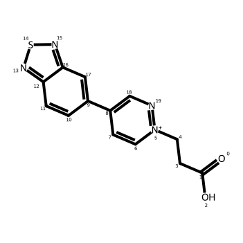 O=C(O)CC[n+]1ccc(-c2ccc3nsnc3c2)cn1